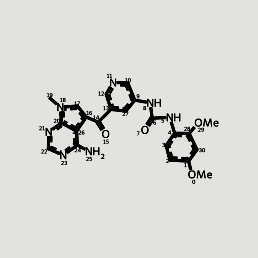 COc1ccc(NC(=O)Nc2cncc(C(=O)c3cn(C)c4ncnc(N)c34)c2)c(OC)c1